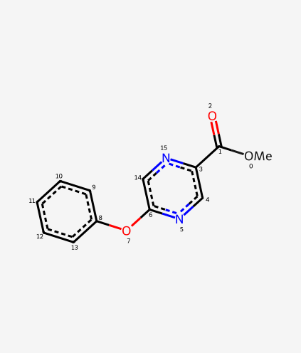 COC(=O)c1cnc(Oc2ccccc2)cn1